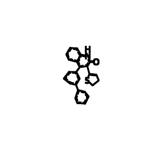 O=c1[nH]c2ccccc2c(-c2cccc(-c3ccccc3)c2)c1C1=CCCS1